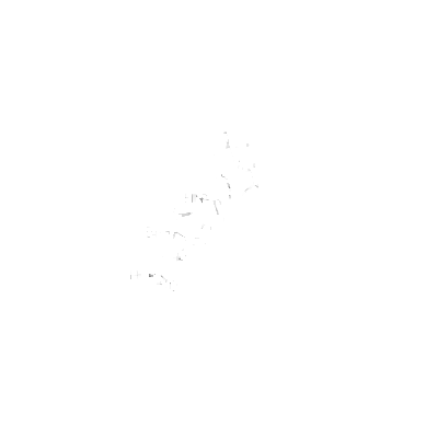 CC(C)(C)c1cccc(-c2cc3cc(OCC(=O)O)c(Br)cc3[nH]2)c1